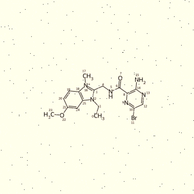 CCn1c(CNC(=O)c2nc(Br)cnc2N)[n+](C)c2ccc(OC)cc21